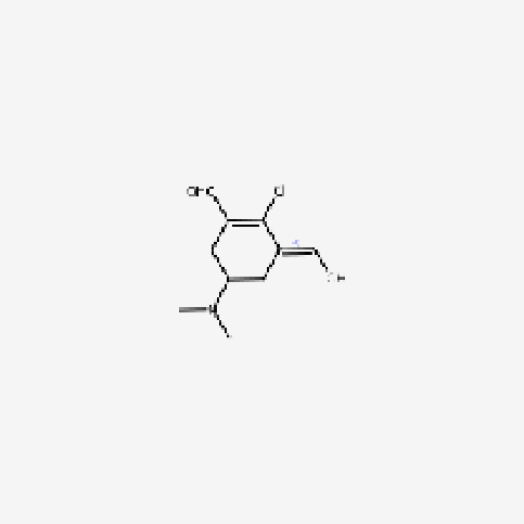 CN(C)C1CC(C=O)=C(Cl)/C(=C/O)C1